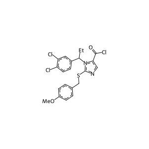 CCC(c1ccc(Cl)c(Cl)c1)n1c(C(=O)Cl)cnc1SCc1ccc(OC)cc1